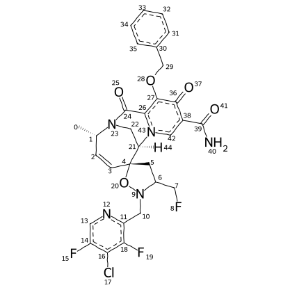 C[C@H]1C=C[C@]2(CC(CF)N(Cc3ncc(F)c(Cl)c3F)O2)[C@H]2CN1C(=O)c1c(OCc3ccccc3)c(=O)c(C(N)=O)cn12